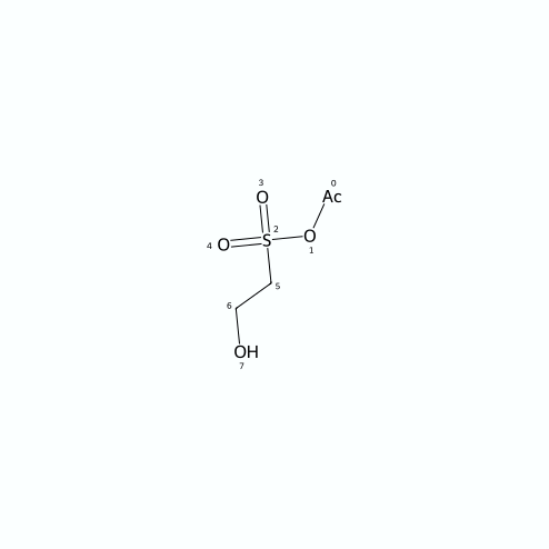 CC(=O)OS(=O)(=O)CCO